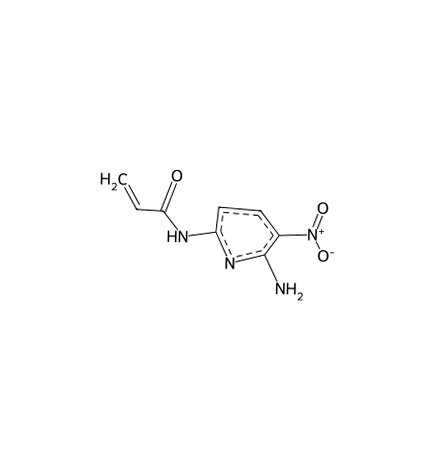 C=CC(=O)Nc1ccc([N+](=O)[O-])c(N)n1